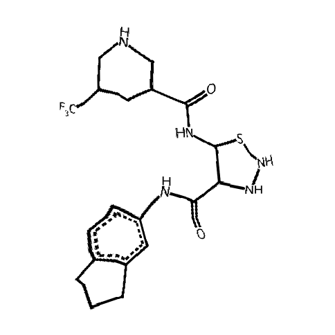 O=C(NC1SNNC1C(=O)Nc1ccc2c(c1)CCC2)C1CNCC(C(F)(F)F)C1